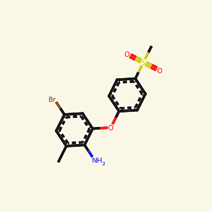 Cc1cc(Br)cc(Oc2ccc(S(C)(=O)=O)cc2)c1N